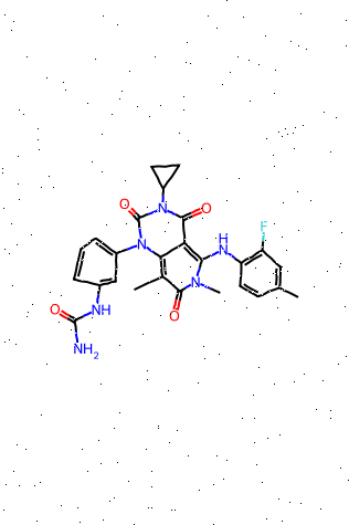 Cc1ccc(Nc2c3c(=O)n(C4CC4)c(=O)n(-c4cccc(NC(N)=O)c4)c3c(C)c(=O)n2C)c(F)c1